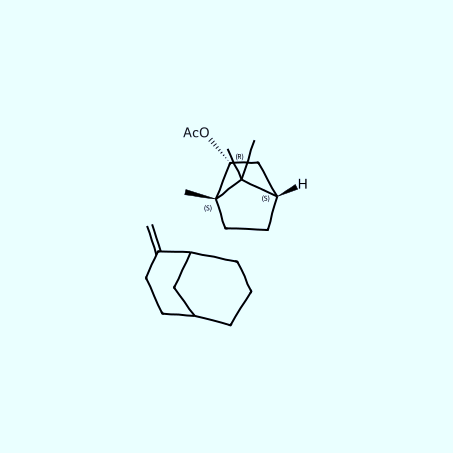 C=C1CCC2CCCC1C2.CC(=O)O[C@@H]1C[C@@H]2CC[C@@]1(C)C2(C)C